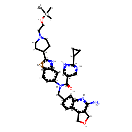 CC(C)(C)[Si](C)(C)OCCN1CCC(c2nc3cc(N(Cc4ccc5c6c(c(N)nc5c4)COC6)C(=O)c4cnc(C5CC5)nc4)ccc3s2)CC1